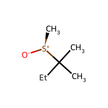 CCC(C)(C)[S@+](C)[O-]